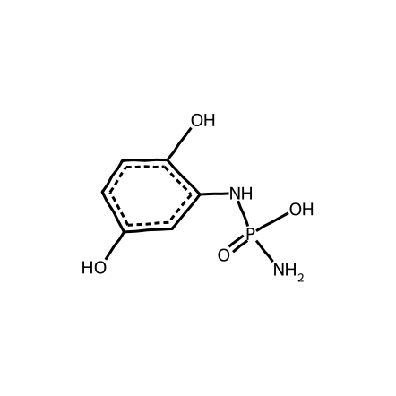 NP(=O)(O)Nc1cc(O)ccc1O